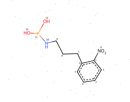 O=[N+]([O-])c1ccccc1CCCNP(O)O